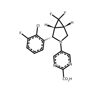 O=C(O)c1ncc(N2C[C@@H]3[C@H]([C@H]2c2cccc(F)c2Cl)C3(F)F)cn1